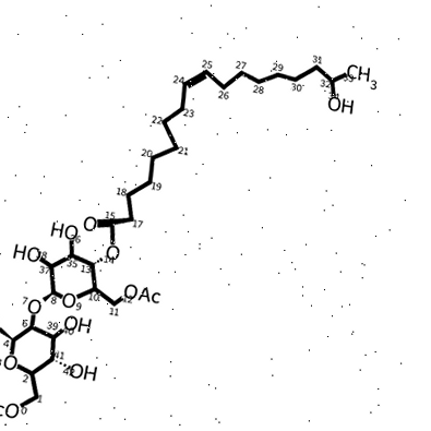 CC(=O)OCC1O[C@@H](C)C(O[C@@H]2OC(COC(C)=O)[C@@H](OC(=O)CCCCCCC/C=C\CCCCCCC(C)O)C(O)C2O)C(O)[C@@H]1O